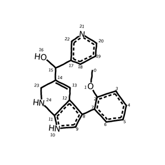 COc1ccccc1-c1c[nH]c2c1C=C(C(O)c1cccnc1)CN2